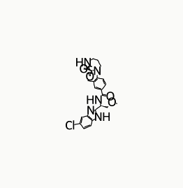 COC[C@H](NC(=O)c1ccc(N2CCCNS2(=O)=O)c(C)c1)c1nc2cc(Cl)ccc2[nH]1